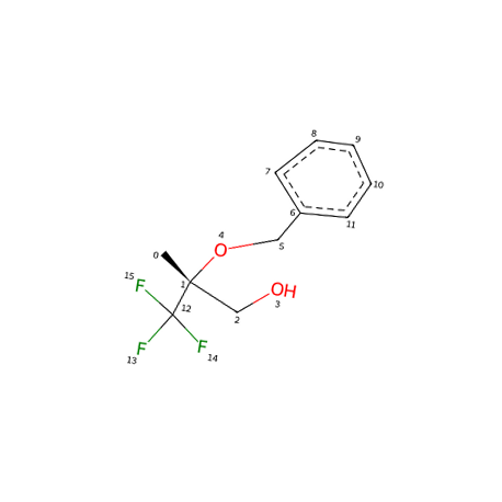 C[C@](CO)(OCc1ccccc1)C(F)(F)F